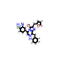 Nc1cc(-c2c[nH]c(Cc3ccccc3)c3nc(Cc4ccco4)c(=O)n2-3)ccc1F